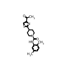 CC(=O)c1csc(C2CCN(C(=O)Nc3cc(C)ccc3C)CC2)n1